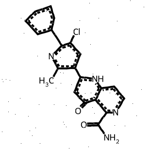 Cc1nc(-c2ccccc2)c(Cl)cc1-c1cc(=O)c2c(C(N)=O)nccc2[nH]1